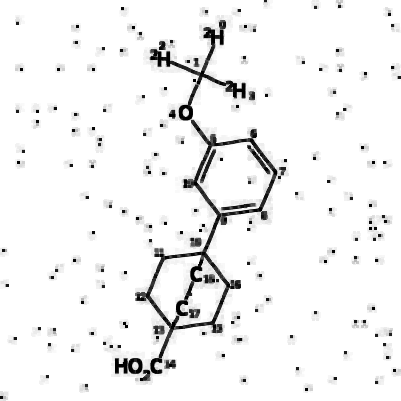 [2H]C([2H])([2H])Oc1cccc(C23CCC(C(=O)O)(CC2)CC3)c1